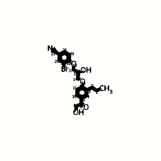 CCCc1cc(C(=O)CO)ccc1OCC(O)COc1ccc(C#N)cc1Br